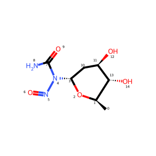 C[C@H]1O[C@H](N(N=O)C(N)=O)C[C@@H](O)[C@@H]1O